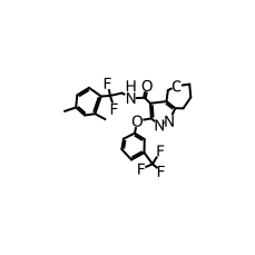 Cc1ccc(C(F)(F)CNC(=O)c2c(Oc3cccc(C(F)(F)F)c3)nnc3c2CCCCC3)c(C)c1